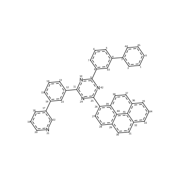 c1ccc(-c2cccc(-c3nc(-c4cccc(-c5cccnc5)c4)nc(-c4ccc5ccc6cccc7ccc4c5c67)n3)c2)cc1